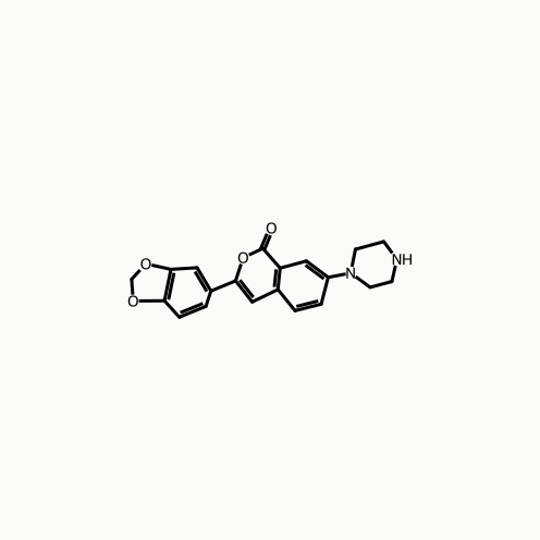 O=c1oc(-c2ccc3c(c2)OCO3)cc2ccc(N3CCNCC3)cc12